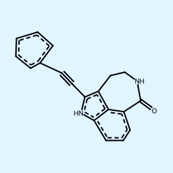 O=C1NCCc2c(C#Cc3ccccc3)[nH]c3cccc1c23